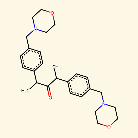 CC(C(=O)C(C)c1ccc(CN2CCOCC2)cc1)c1ccc(CN2CCOCC2)cc1